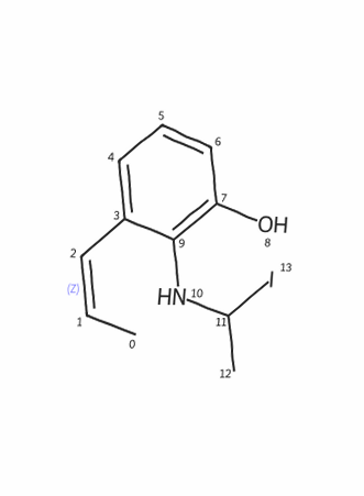 C/C=C\c1cccc(O)c1NC(C)I